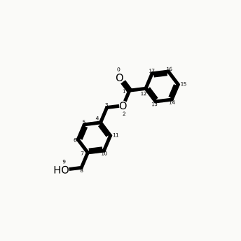 O=C(OCc1ccc(CO)cc1)c1ccccc1